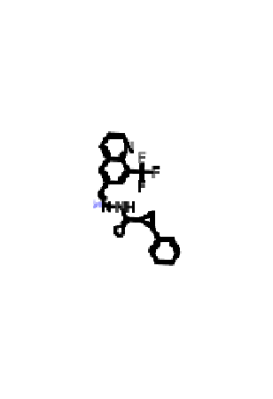 O=C(N/N=C\c1cc(C(F)(F)F)c2ncccc2c1)C1CC1c1ccccc1